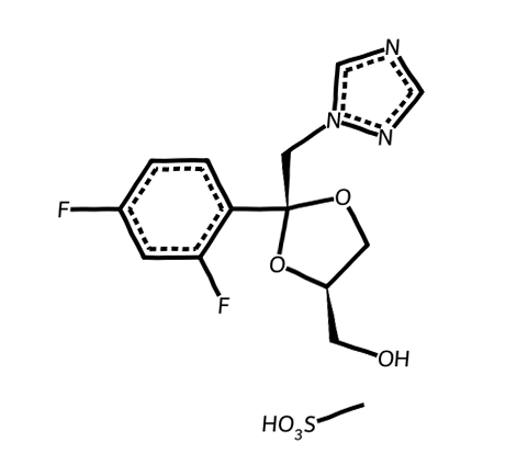 CS(=O)(=O)O.OC[C@@H]1CO[C@@](Cn2cncn2)(c2ccc(F)cc2F)O1